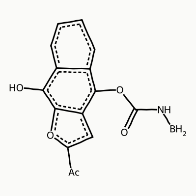 BNC(=O)Oc1c2ccccc2c(O)c2oc(C(C)=O)cc12